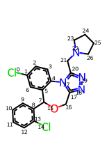 Clc1ccc2c(c1)C(c1ccccc1Cl)OCc1nnc(CN3CCCC3)n1-2